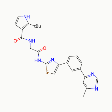 Cc1cc(-c2cccc(-c3csc(NC(=O)CNC(=O)c4cc[nH]c4C(C)(C)C)n3)c2)ncn1